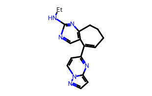 CCNc1ncc2c(n1)CCCC=C2c1ccn2nccc2n1